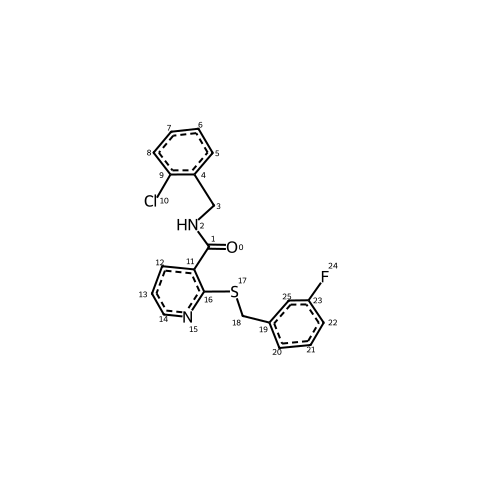 O=C(NCc1ccccc1Cl)c1cccnc1SCc1cccc(F)c1